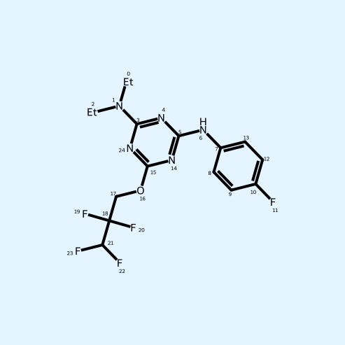 CCN(CC)c1nc(Nc2ccc(F)cc2)nc(OCC(F)(F)C(F)F)n1